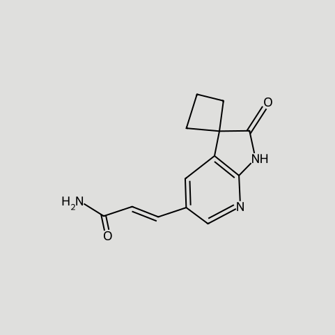 NC(=O)C=Cc1cnc2c(c1)C1(CCC1)C(=O)N2